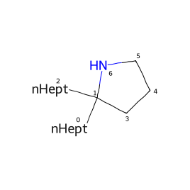 CCCCCCCC1(CCCCCCC)CCCN1